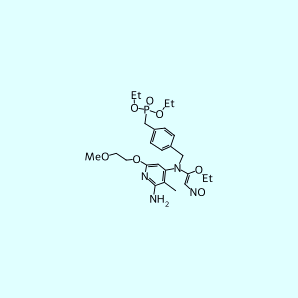 CCOC(=CN=O)N(Cc1ccc(CP(=O)(OCC)OCC)cc1)c1cc(OCCOC)nc(N)c1C